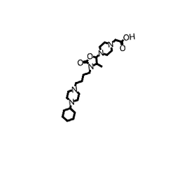 CC1C(N2CCN(CC(=O)O)CC2)OC(=O)N1CCCCN1CCN(C2CCCCC2)CC1